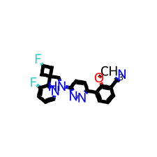 COc1c(C#N)cccc1-c1ccc(NCC2(c3ncccc3F)CC(F)C2)nn1